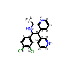 FC(F)(F)CNC(c1ccc(Cl)c(Cl)c1)C(c1cccnc1)c1cccnc1